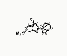 COc1ccc2c(=O)cc(C3C4CC5CC(C4)CC3C5)oc2c1